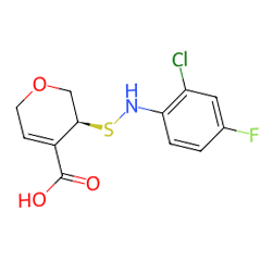 O=C(O)C1=CCOC[C@H]1SNc1ccc(F)cc1Cl